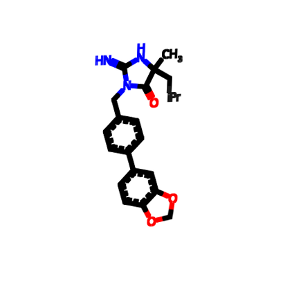 CC(C)CC1(C)NC(=N)N(Cc2ccc(-c3ccc4c(c3)OCO4)cc2)C1=O